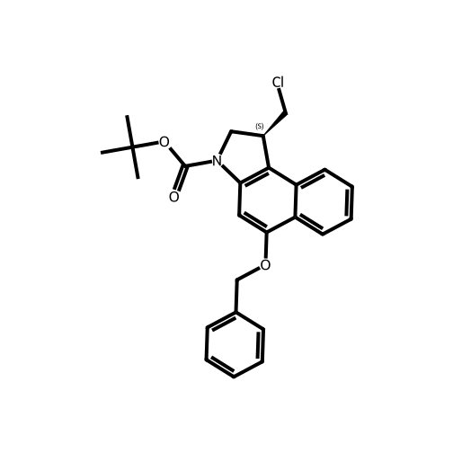 CC(C)(C)OC(=O)N1C[C@@H](CCl)c2c1cc(OCc1ccccc1)c1ccccc21